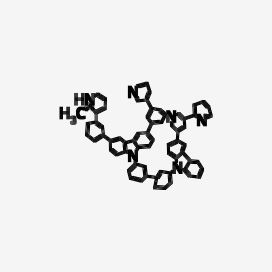 C[C@H]1NC=CC=C1c1cccc(-c2ccc3c(c2)c2cc(-c4cccc(-c5cccnc5)c4)ccc2n3-c2cccc(-c3cccc(-n4c5ccccc5c5cc(-c6cncc(-c7ccccn7)c6)ccc54)c3)c2)c1